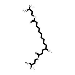 CC(C)CCOC(=O)CCCCCCCCCC(C)CCC(=O)OCCC(C)C